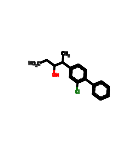 CC(c1ccc(-c2ccccc2)c(Cl)c1)C(O)CC(=O)O